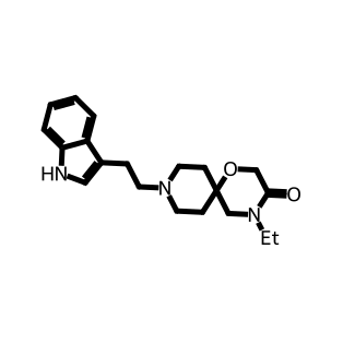 CCN1CC2(CCN(CCc3c[nH]c4ccccc34)CC2)OCC1=O